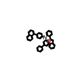 c1ccc(-c2cccc(N(c3ccc(-c4cccc5ccccc45)cc3)c3ccccc3-c3cc4ccccc4o3)c2)cc1